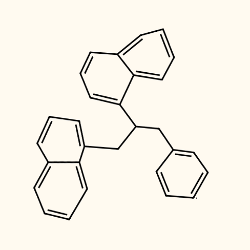 [c]1ccc(CC(Cc2cccc3ccccc23)c2cccc3ccccc23)cc1